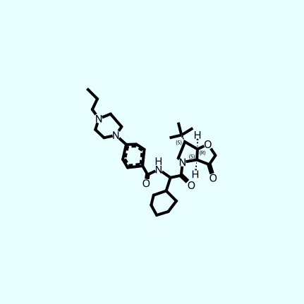 CCCN1CCN(c2ccc(C(=O)NC(C(=O)N3C[C@H](C(C)(C)C)[C@H]4OCC(=O)[C@H]43)C3CCCCC3)cc2)CC1